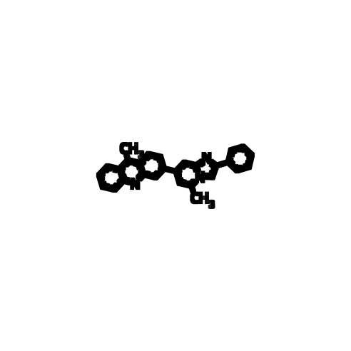 Cc1c2ccccc2nc2cc(-c3cc(C)n4cc(-c5ccccc5)nc4c3)ccc12